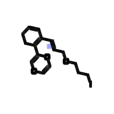 ICCCOC/C=C/C1=C(C2=COC=CO2)CCC=C1